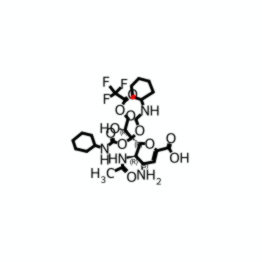 CC(=O)N[C@H]1[C@H](C(OC(=O)NC2CCCCC2)(OC(=O)NC2CCCCC2)[C@H](O)COC(=O)C(F)(F)F)OC(C(=O)O)=C[C@@H]1N